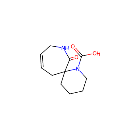 O=C(O)N1CCCCC12CC=CCNC2=O